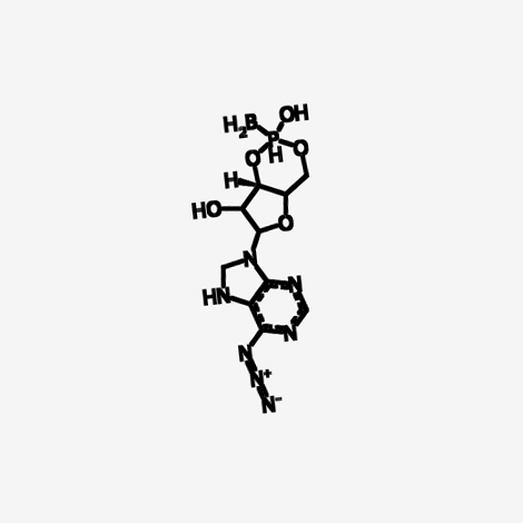 B[PH]1(O)OCC2OC(N3CNc4c(N=[N+]=[N-])ncnc43)C(O)[C@@H]2O1